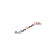 CC(C)COCCCCOCCCCCOC(C)(C)C